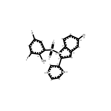 O=S(=O)(c1cc(F)cc(F)c1O)n1c(-c2cnccn2)cc2cc(Cl)ccc21